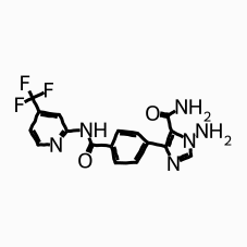 NC(=O)c1c(-c2ccc(C(=O)Nc3cc(C(F)(F)F)ccn3)cc2)ncn1N